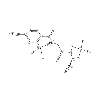 N#Cc1ccc(C(=O)NCC(=O)N2CC(F)(F)C[C@H]2C#N)c(C(F)(F)F)c1